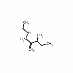 C=C([SiH2]NCC)C(C)CC